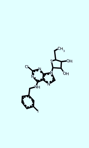 CCC1SC(n2cnc3c(NCc4cccc(I)c4)nc(Cl)nc32)C(O)C1O